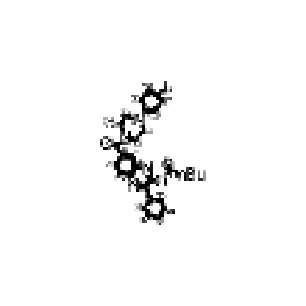 CCCCC(=O)Oc1nc2cc(C(=O)N3CCN(c4ccc(F)cc4)C[C@H]3C)ccc2nc1-c1ccccc1